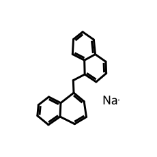 [Na].c1ccc2c(Cc3cccc4ccccc34)cccc2c1